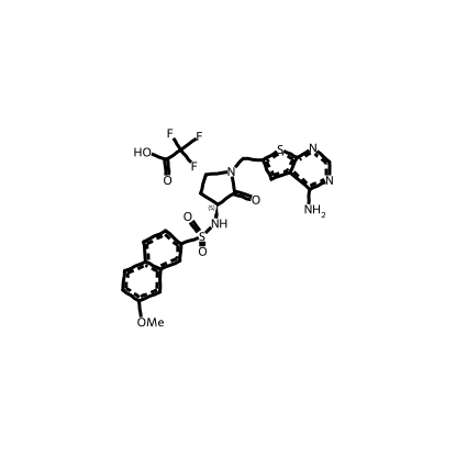 COc1ccc2ccc(S(=O)(=O)N[C@H]3CCN(Cc4cc5c(N)ncnc5s4)C3=O)cc2c1.O=C(O)C(F)(F)F